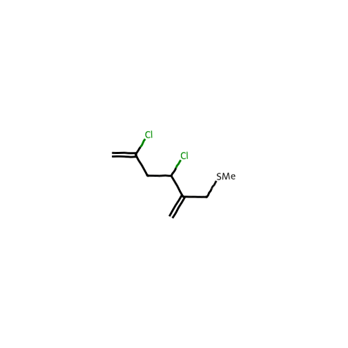 C=C(Cl)CC(Cl)C(=C)CSC